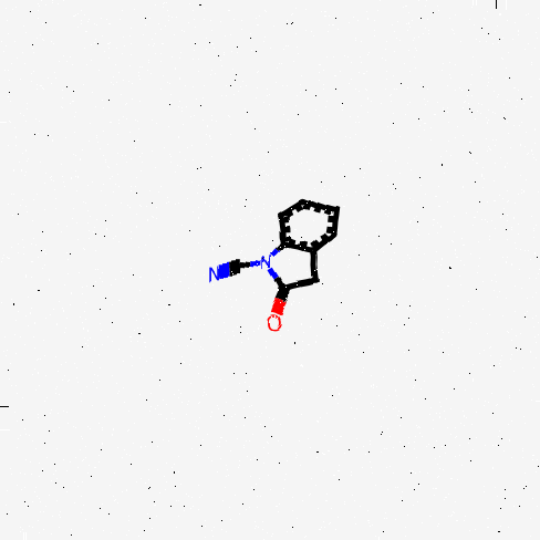 N#CN1C(=O)Cc2ccccc21